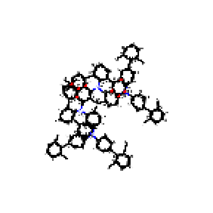 Cc1cccc(C)c1-c1ccc(N(c2ccc(-c3c(C)cccc3C)cc2)c2ccc3c(c2)N(c2c(-c4ccccc4)cccc2-c2ccccc2)c2cc(C(C)(C)C)cc4c2B3c2ccc(N(c3ccc(-c5c(C)cccc5C)cc3)c3ccc(-c5c(C)cccc5C)cc3)cc2N4c2c(-c3ccccc3)cccc2-c2ccccc2)cc1